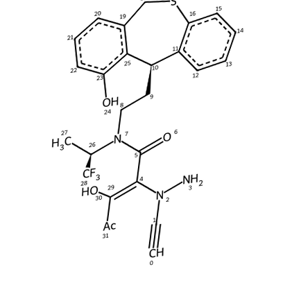 C#CN(N)/C(C(=O)N(CC[C@@H]1c2ccccc2SCc2cccc(O)c21)[C@H](C)C(F)(F)F)=C(/O)C(C)=O